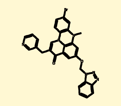 CN1c2cc(Br)ccc2-n2cc(Cc3cccnc3)c(=O)c3cc(OCn4nnc5ccccc54)cc1c32